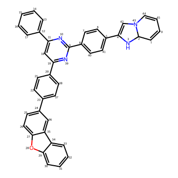 C1=CC2NC(c3ccc(-c4nc(-c5ccccc5)cc(-c5ccc(-c6ccc7oc8ccccc8c7c6)cc5)n4)cc3)=CN2C=C1